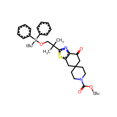 CC(C)(C)OC(=O)N1CCC2(CC1)CC(=O)c1nc(C(C)(C)CO[Si](c3ccccc3)(c3ccccc3)C(C)(C)C)sc1C2